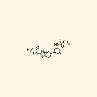 CC(=O)Nc1nc2ccc(-c3cncc(NS(C)(=O)=O)c3)cn2n1